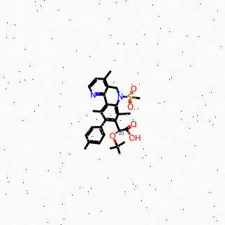 Cc1ccc(-c2c(C)c3c(c(C)c2[C@H](OC(C)(C)C)C(=O)O)N(S(C)(=O)=O)Cc2c(C)ccnc2-3)cc1